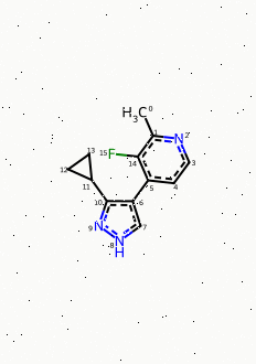 Cc1nccc(-c2c[nH]nc2C2CC2)c1F